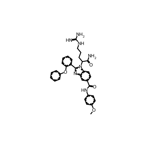 COc1ccc(NC(=O)c2ccc3c(c2)nc(-c2ccccc2Oc2ccccc2)n3C(CCCNC(=N)N)C(N)=O)cc1